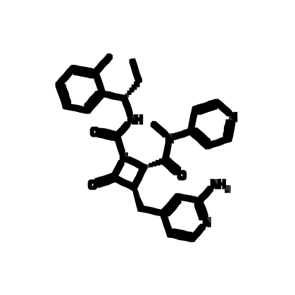 CC[C@H](NC(=O)N1C(=O)[C@H](Cc2ccnc(N)c2)[C@H]1C(=O)N(C)c1ccncc1)c1ccccc1C